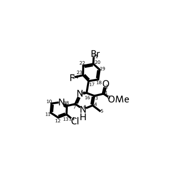 COC(=O)C1=C(C)NC(c2ncccc2Cl)=NC1c1ccc(Br)cc1F